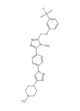 CN1CCC(c2cn(-c3ccc(-c4nnc(COc5cccc(C(F)(F)F)c5)n4C)cc3)nn2)CC1